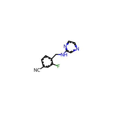 N#Cc1ccc(CNc2cnccn2)c(F)c1